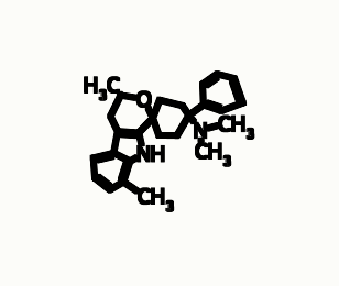 Cc1cccc2c3c([nH]c12)C1(CCC(c2ccccc2)(N(C)C)CC1)OC(C)C3